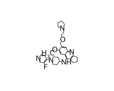 COc1cc2c(NC3CCN(c4ccncc4F)CC3)c3c(nc2cc1COCCN1CCCC1)CCC3